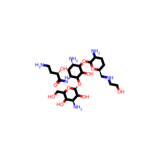 NCC[C@H](O)C(=O)N[C@@H]1C[C@H](N)C(OC2O[C@H](CNCCO)CCC2N)C(O)C1O[C@H]1OC(CO)C(O)[C@H](N)C1O